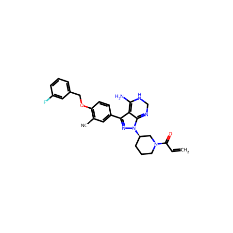 C=CC(=O)N1CCC[C@@H](n2nc(-c3ccc(OCc4cccc(F)c4)c(C#N)c3)c3c2=NCNC=3N)C1